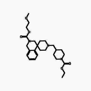 CCOC(=O)N1CCC(CN2CCC3(CC2)CN(C(=O)OCCOC)Cc2ccccc23)CC1